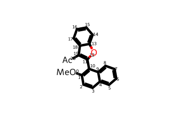 COc1ccc2ccccc2c1-c1oc2ccccc2c1C(C)=O